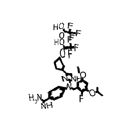 CCOc1cc(CN(c2ccc(C(=N)N)cc2)c2nc(C3CCCC3)c[nH]2)c(F)c(OC(C)C)c1.O=C(O)C(F)(F)F.O=C(O)C(F)(F)F